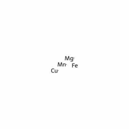 [Cu].[Fe].[Mg].[Mn]